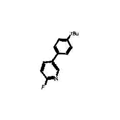 CC(C)(C)c1ccc(-c2ccc(F)nc2)cc1